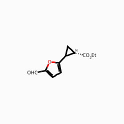 CCOC(=O)[C@H]1CC1c1ccc(C=O)o1